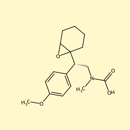 COc1ccc([C@@H](CN(C)C(=O)O)C23CCCCC2O3)cc1